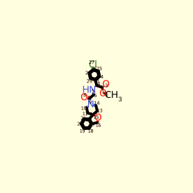 COC(=O)[C@H](NCC(=O)N1CCC2(CC1)OCc1ccccc12)c1ccc(Cl)cc1